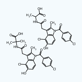 Cc1c(CC(=O)NC(C)(C)C(=O)O)c2c(Cl)c(O)ccc2n1C(=O)c1ccc(Cl)cc1.Cc1c(CC(=O)NC(C)C(=O)O)c2c(Cl)c(O)ccc2n1C(=O)c1ccc(Cl)cc1